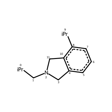 CC(C)CN1Cc2cccc(C(C)C)c2C1